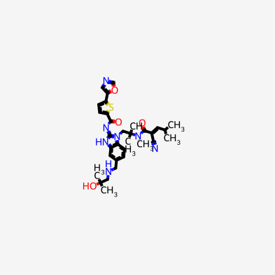 CC(C)C=C(C#N)C(=O)N(C)C(C)(C)Cn1c(=NC(=O)c2ccc(-c3cnco3)s2)[nH]c2cc(CNCC(C)(C)O)ccc21